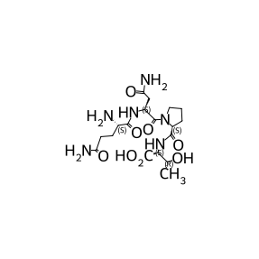 C[C@@H](O)[C@H](NC(=O)[C@@H]1CCCN1C(=O)[C@H](CC(N)=O)NC(=O)[C@@H](N)CCC(N)=O)C(=O)O